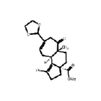 COC(=O)[C@]12CCC(C(C)C)=C1[C@H]1CC=C(C3OCCO3)CC(=O)[C@]1(C)CC2